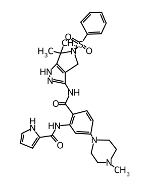 CN1CCN(c2ccc(C(=O)Nc3n[nH]c4c3CN(S(=O)(=O)c3ccccc3)C4(C)C)c(NC(=O)c3ccc[nH]3)c2)CC1